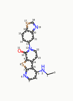 CCNc1ccnc2sc3c(=O)n(-c4ccc5scnc5c4)ccc3c12